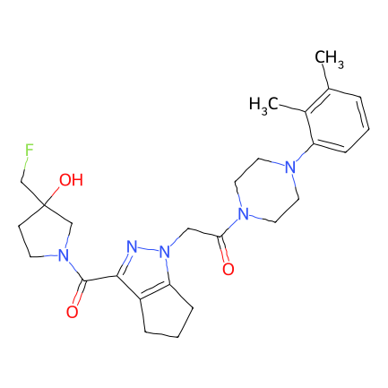 Cc1cccc(N2CCN(C(=O)Cn3nc(C(=O)N4CCC(O)(CF)C4)c4c3CCC4)CC2)c1C